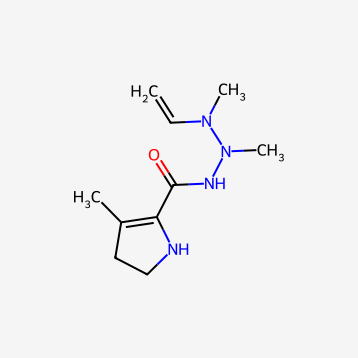 C=CN(C)N(C)NC(=O)C1=C(C)CCN1